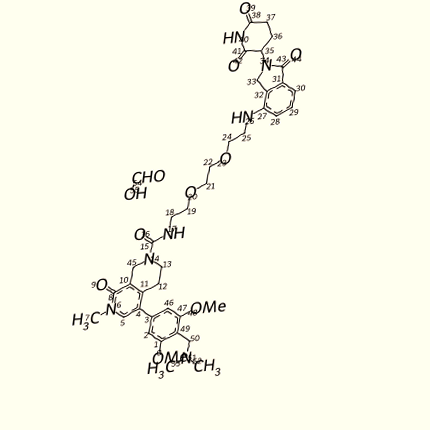 COc1cc(-c2cn(C)c(=O)c3c2CCN(C(=O)NCCOCCOCCNc2cccc4c2CN(C2CCC(=O)NC2=O)C4=O)C3)cc(OC)c1CN(C)C.O=CO